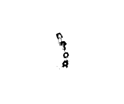 N#Cc1ccc(OC2CCC(NC(=O)c3ccc(N4CC5CCC(C4)N5)nn3)CC2)cc1Cl